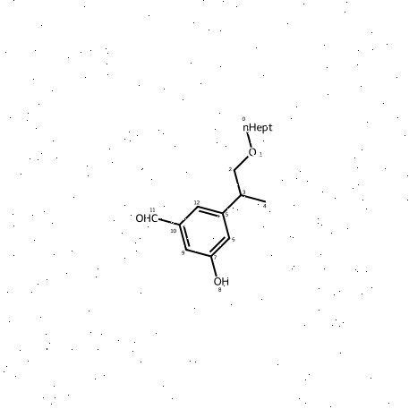 CCCCCCCOCC(C)c1cc(O)cc(C=O)c1